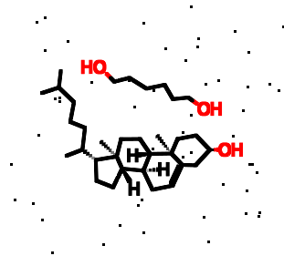 CC(C)CCCC(C)[C@H]1CC[C@H]2[C@@H]3CC=C4C[C@@H](O)CC[C@]4(C)[C@H]3CC[C@]12C.OCCCCCCO